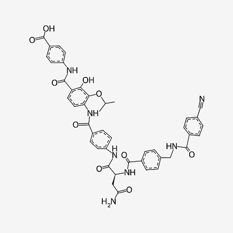 CC(C)Oc1c(NC(=O)c2ccc(NC(=O)[C@H](CC(N)=O)NC(=O)c3ccc(CNC(=O)c4ccc(C#N)cc4)cc3)cc2)ccc(C(=O)Nc2ccc(C(=O)O)cc2)c1O